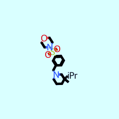 CC(C)C1(C)CCCN(Cc2cccc(S(=O)(=O)N3CCOCC3)c2)C1